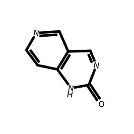 O=c1ncc2cnccc2[nH]1